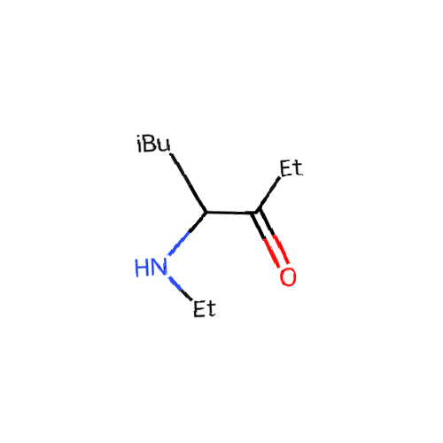 CCNC(C(=O)CC)C(C)CC